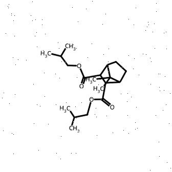 CC(C)COC(=O)C1C(C(=O)OCC(C)C)C2CCC1C2(C)C